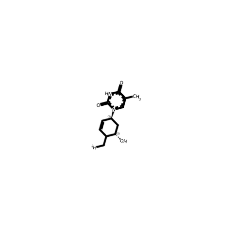 [2H]CC1C=C[C@@H](n2cc(C)c(=O)[nH]c2=O)C[C@@H]1O